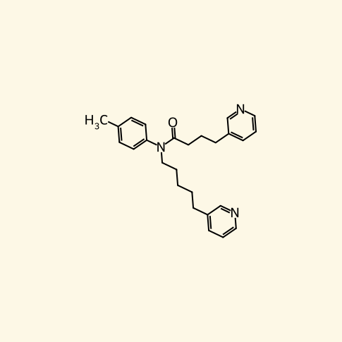 Cc1ccc(N(CCCCCc2cccnc2)C(=O)CCCc2cccnc2)cc1